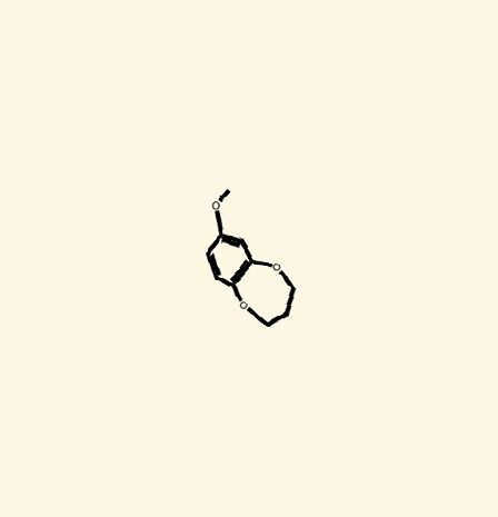 COc1ccc2c(c1)OCCCO2